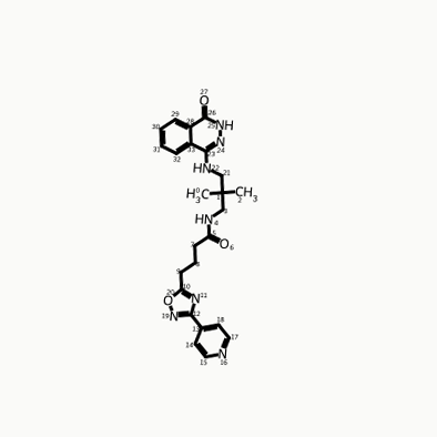 CC(C)(CNC(=O)CCCc1nc(-c2ccncc2)no1)CNc1n[nH]c(=O)c2ccccc12